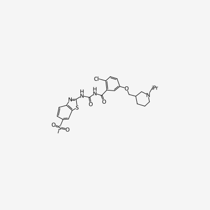 CC(C)N1CCCC(COc2ccc(Cl)c(C(=O)NC(=O)Nc3nc4ccc(S(C)(=O)=O)cc4s3)c2)C1